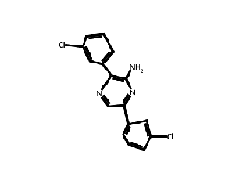 Nc1nc(-c2cccc(Cl)c2)cnc1-c1cccc(Cl)c1